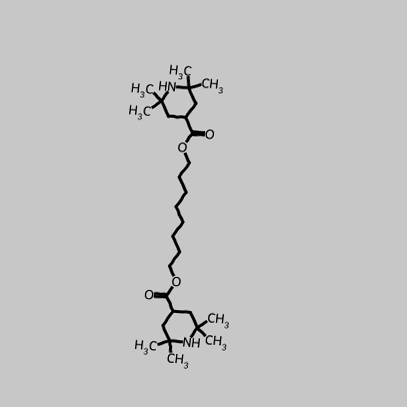 CC1(C)CC(C(=O)OCCCCCCCCOC(=O)C2CC(C)(C)NC(C)(C)C2)CC(C)(C)N1